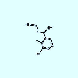 N=COC(=N)c1cccc(Br)c1F